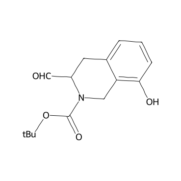 CC(C)(C)OC(=O)N1Cc2c(O)cccc2CC1C=O